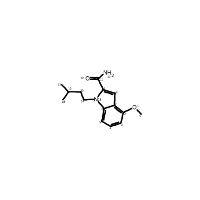 COc1cccc2c1cc(C(N)=O)n2CCC(C)C